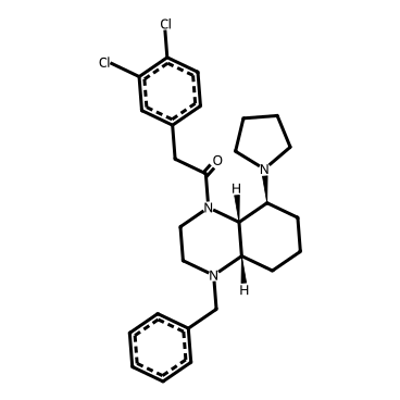 O=C(Cc1ccc(Cl)c(Cl)c1)N1CCN(Cc2ccccc2)[C@H]2CCC[C@H](N3CCCC3)[C@H]21